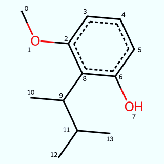 COc1cccc(O)c1C(C)C(C)C